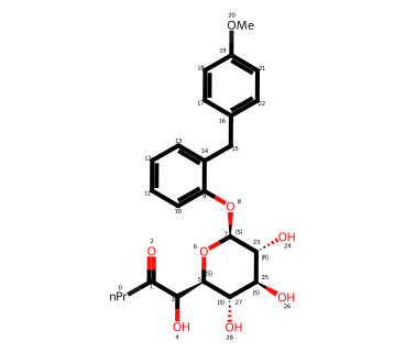 CCCC(=O)C(O)[C@H]1O[C@@H](Oc2ccccc2Cc2ccc(OC)cc2)[C@H](O)[C@@H](O)[C@@H]1O